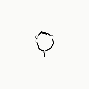 CN1CCO/C=C\OCC1